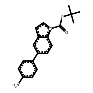 CC(C)(C)OC(=O)n1ccc2cc(-c3ccc(N)cc3)ccc21